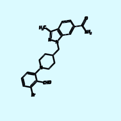 Cc1nn(CC2CCN(c3cccc(Br)c3C=O)CC2)c2cc(C(N)=O)ccc12